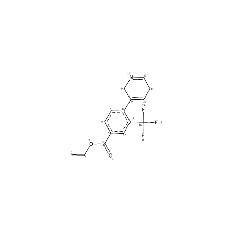 CCOC(=O)c1ccc(C2=CCC=NC2)c(C(F)(F)F)c1